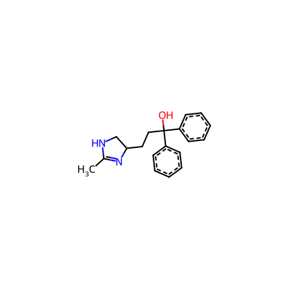 CC1=NC(CCC(O)(c2ccccc2)c2ccccc2)CN1